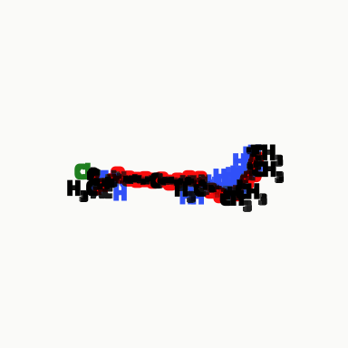 CC(=O)N1c2ccc(-c3ccc(C(=O)NCCOCCOCCOCCOCCOCCOCCOCCNC(=O)CCNC(=O)c4nc(NC(=O)CCNC(=O)c5cc(NC(=O)c6nc(NC(=O)CCNC(=O)c7cc(NC(=O)c8nccn8C)cn7C)cn6C)cn5C)cn4C)cc3)cc2[C@H](Nc2ccc(Cl)cc2)C[C@@H]1C